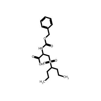 CCCC(CCC)S(=O)(=O)CC(NC(=O)OCc1ccccc1)C(=O)O